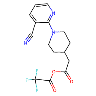 N#Cc1cccnc1N1CCC(CC(=O)OC(=O)C(F)(F)F)CC1